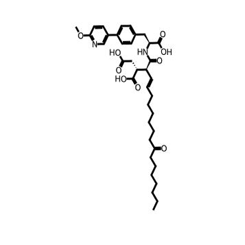 CCCCCCCC(=O)CCCCCC/C=C/[C@H](C(=O)N[C@@H](Cc1ccc(-c2ccc(OC)nc2)cc1)C(=O)O)[C@@H](CC(=O)O)C(=O)O